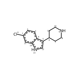 Clc1ccc2c(C3CCNCC3)c[nH]c2c1